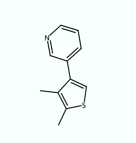 Cc1scc(-c2cccnc2)c1C